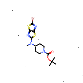 CN(c1nc2sc(Br)nc2s1)C1CCN(C(=O)OC(C)(C)C)CC1